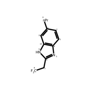 CCCc1ccc2nc(CC(F)(F)F)[nH]c2c1